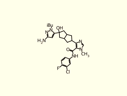 CCC(C)n1nc(N)cc1C1(O)CC2CC(c3ncn(C)c3C(=O)Nc3ccc(F)c(Cl)c3)CC2C1